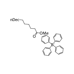 CCCCCCCCCCCCCCCC(=O)OC.c1ccc([B-](c2ccccc2)(c2ccccc2)c2ccccc2)cc1